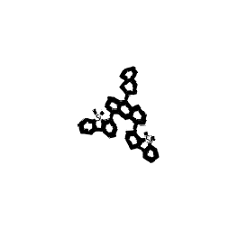 C[Si]1(C)c2ccccc2-c2cccc(-c3cccc4c(-c5ccc6ccccc6c5)c5cccc(-c6cccc7c6[Si](C)(C)c6ccccc6-7)c5cc34)c21